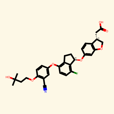 CC(C)(O)CCOc1ccc(Oc2ccc(F)c3c2CC[C@H]3Oc2ccc3c(c2)OC[C@H]3CC(=O)O)cc1C#N